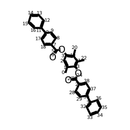 Cc1cc(OC(=O)c2ccc(-c3ccccc3)cc2)c(C)c(C)c1OC(=O)c1ccc(-c2ccccc2)cc1